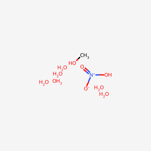 CO.O.O.O.O.O.O.O=[N+]([O-])O